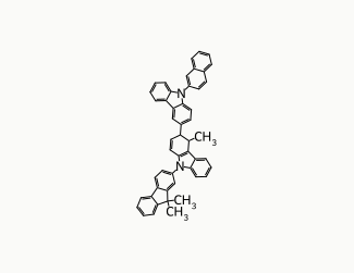 CC1c2c(n(-c3ccc4c(c3)C(C)(C)c3ccccc3-4)c3ccccc23)C=CC1c1ccc2c(c1)c1ccccc1n2-c1ccc2ccccc2c1